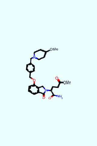 COC(=O)CCC(C(N)=O)N1Cc2c(OCc3ccc(CN4CCC(OC)CC4)cc3)cccc2C1=O